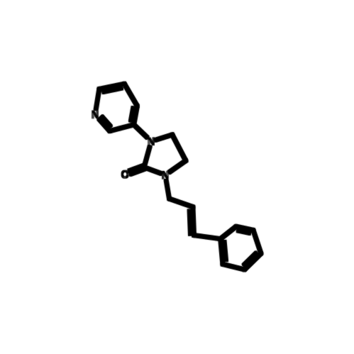 O=C1N(CC=Cc2ccccc2)CCN1c1cccnc1